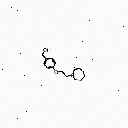 OCc1ccc(OCCN2CCCCCC2)cc1